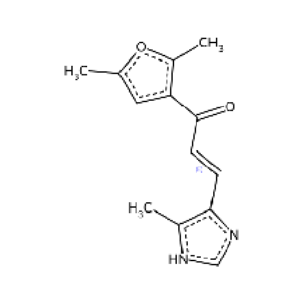 Cc1cc(C(=O)/C=C/c2nc[nH]c2C)c(C)o1